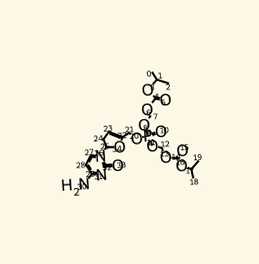 CC(C)OC(=O)OCOP(=O)(OCOC(=O)OC(C)C)OCC1=CCC(n2ccc(N)nc2=O)O1